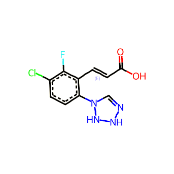 O=C(O)/C=C/c1c(N2C=NNN2)ccc(Cl)c1F